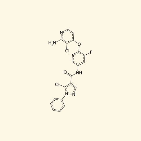 Nc1nccc(Oc2ccc(NC(=O)c3cnn(-c4ccccc4)c3Cl)cc2F)c1Cl